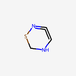 C1=CNCSN=1